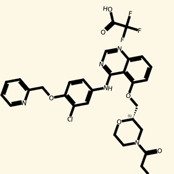 O=C(CO)N1CCO[C@H](COc2cccc3ncnc(Nc4ccc(OCc5ccccn5)c(Cl)c4)c23)C1.O=C(O)C(F)(F)F